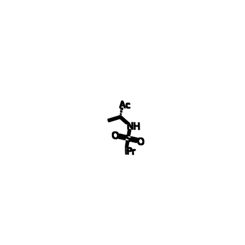 CC(=O)[C@@H](C)NS(=O)(=O)C(C)C